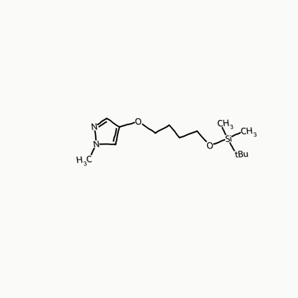 Cn1cc(OCCCCO[Si](C)(C)C(C)(C)C)cn1